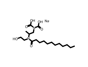 CCCCCCCCCCCC(=O)N(CCO)C(C)CN(C(=O)O)C(=O)O.[Na]